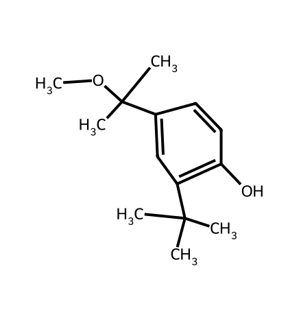 COC(C)(C)c1ccc(O)c(C(C)(C)C)c1